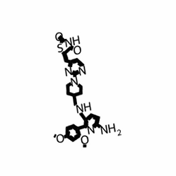 COc1ccc(-c2nc(N)ccc2CNCC2CCN(c3nccc(C=C4SC(=O)NC4=O)n3)CC2)c(OC)c1